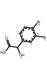 O=C(O)C(O)c1ccc(Br)c(Br)c1